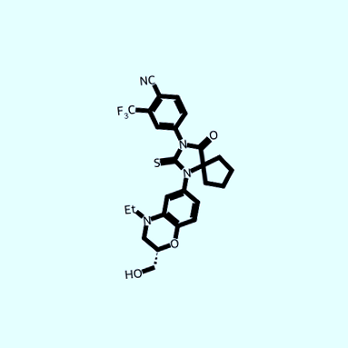 CCN1C[C@@H](CO)Oc2ccc(N3C(=S)N(c4ccc(C#N)c(C(F)(F)F)c4)C(=O)C34CCCC4)cc21